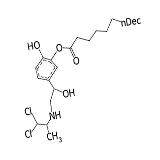 CCCCCCCCCCCCCCCC(=O)Oc1cc(C(O)CNC(C)C(Cl)Cl)ccc1O